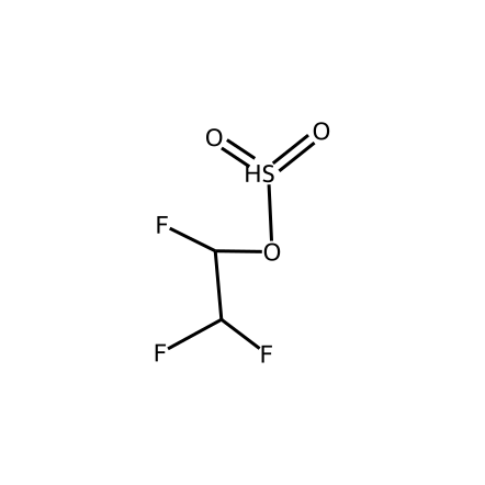 O=[SH](=O)OC(F)C(F)F